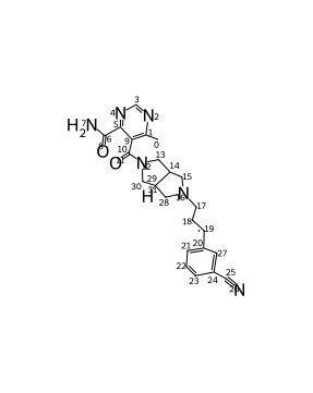 Cc1ncnc(C(N)=O)c1C(=O)N1CC2CN(CC[CH]c3cccc(C#N)c3)C[C@H]2C1